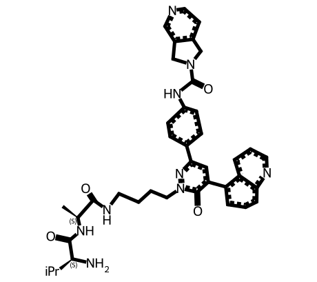 CC(C)[C@H](N)C(=O)N[C@@H](C)C(=O)NCCCCn1nc(-c2ccc(NC(=O)N3Cc4ccncc4C3)cc2)cc(-c2cccc3ncccc23)c1=O